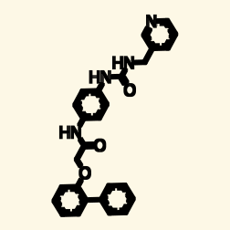 O=C(COc1ccccc1-c1ccccc1)Nc1ccc(NC(=O)NCc2cccnc2)cc1